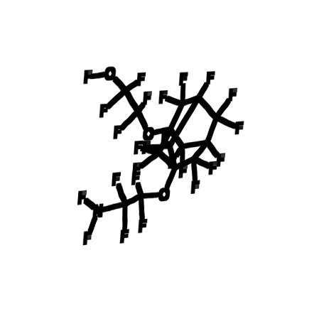 FOC(F)(F)C(F)(F)OC12C(F)(F)C3(F)C(F)(F)C(F)(C1(F)F)C(F)(F)C(OC(F)(F)C(F)(F)N(F)F)(C3(F)F)C2(F)F